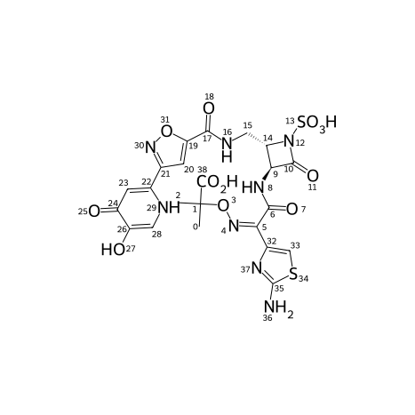 CC(C)(ON=C(C(=O)N[C@@H]1C(=O)N(S(=O)(=O)O)[C@H]1CNC(=O)c1cc(-c2cc(=O)c(O)c[nH]2)no1)c1csc(N)n1)C(=O)O